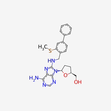 CSc1cc(-c2ccccc2)ccc1CNc1nc2c(N)ncnc2n1[C@H]1CC[C@@H](CO)O1